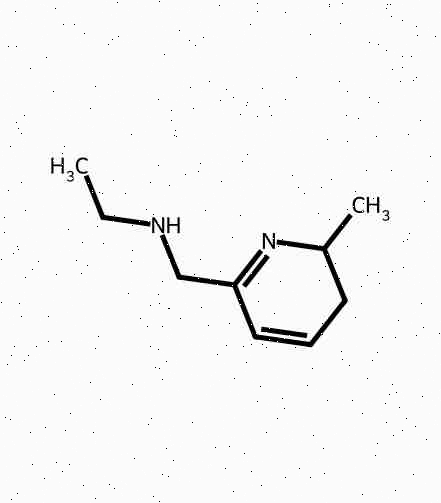 CCNCC1=NC(C)CC=C1